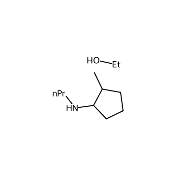 CCCNC1CCCC1C.CCO